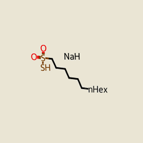 CCCCCCCCCCCCS(=O)(=O)S.[NaH]